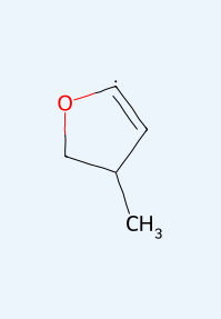 CC1C=[C]OC1